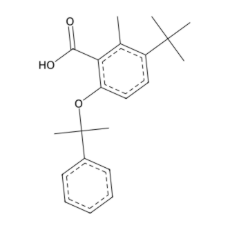 Cc1c(C(C)(C)C)ccc(OC(C)(C)c2ccccc2)c1C(=O)O